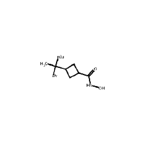 CCCCC(C)(CCC)C1CC(C(=O)NO)C1